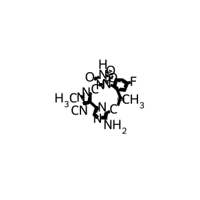 C[C@H]1CCc2nc(cnc2N)-c2c(nn(C)c2C#N)CN2C(=O)NS(=O)(=O)N2c2ccc(F)cc21